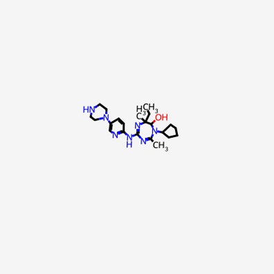 CCC1(C)N=C(Nc2ccc(N3CCNCC3)cn2)N=C(C)N(C2CCCC2)C1O